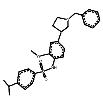 COc1cc(C2CCN(Cc3ccccc3)C2)ccc1NS(=O)(=O)c1ccc(C(C)C)cc1